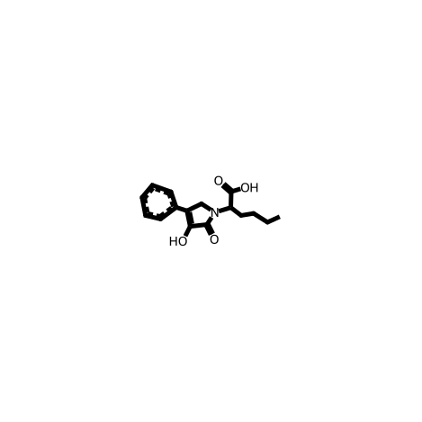 CCCCC(C(=O)O)N1CC(c2ccccc2)=C(O)C1=O